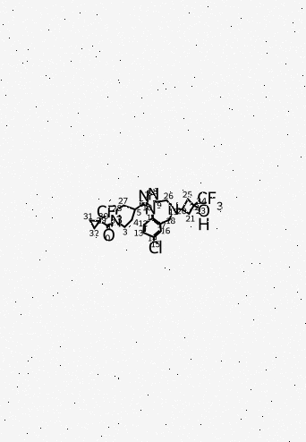 O=C(N1CCC(c2nnc3n2-c2ccc(Cl)cc2CN(C2CC(O)(C(F)(F)F)C2)C3)CC1)C1(C(F)(F)F)CC1